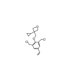 C=Cc1cc(CCl)c(OCC2(C3CC3)COC2)c(CCl)c1